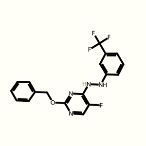 Fc1cnc(OCc2ccccc2)nc1NNc1cccc(C(F)(F)F)c1